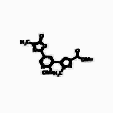 COC(=O)c1cc(-c2cc(-c3nn(C)c(=O)o3)cnc2OC)n(C)n1